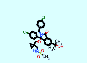 CC(C)(O)c1ccc2c(c1)C(=O)N(Cc1ccc(Cl)cc1)[C@@]2(OCC1(CNS(C)(=O)=O)CC1)c1ccc(Cl)cc1